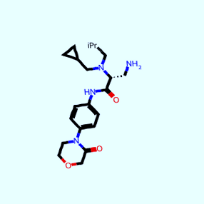 CC(C)CN(CC1CC1)[C@H](CN)C(=O)Nc1ccc(N2CCOCC2=O)cc1